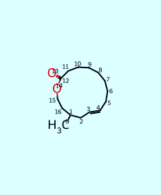 CC1C/C=C/CCCCCCCC(=O)OCC1